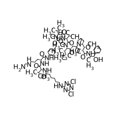 CC[C@H](C)[C@@H]([C@@H](CC(=O)N1CCC[C@H]1[C@H](OC)[C@@H](C)C(=O)N[C@H](C)[C@@H](O)c1ccccc1)OC)N(C)C(=O)[C@@H](NC(=O)[C@H](C(C)C)N(C)C(=O)OCc1ccc(NC(=O)[C@H](CCCNCN)NC(=O)[C@@H](NC(=O)CCCCCNc2nc(Cl)nc(Cl)n2)C(C)C)cc1)C(C)C